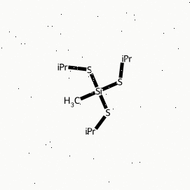 CC(C)S[Si](C)(SC(C)C)SC(C)C